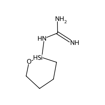 N=C(N)N[SiH]1CCCCO1